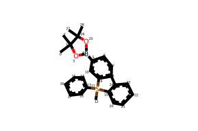 CC1(C)OB(c2ccc3c(c2)S(C)(c2ccccc2)c2ccccc2-3)OC1(C)C